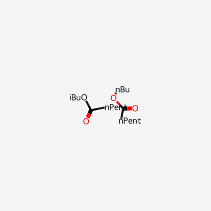 CCCCCC(=O)OCC(C)C.CCCCCC(=O)OCCCC